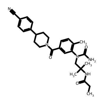 CCC(=O)NC(C)(C)CN(C(N)=O)c1cc(C(=O)N2CCC(c3ccc(C#N)cc3)CC2)ccc1C